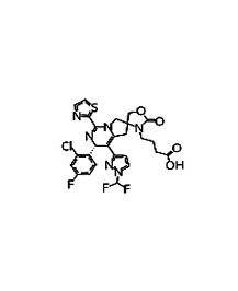 O=C(O)CCCN1C(=O)OC[C@]12CC1=C(c3ccn(C(F)F)n3)[C@H](c3ccc(F)cc3Cl)N=C(c3nccs3)N1C2